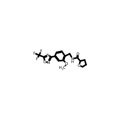 COc1cc(-c2noc(C(F)(F)F)n2)ccc1CNC(=O)C1CCCO1